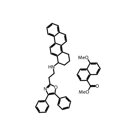 COC(=O)c1cccc2c(OC)cccc12.c1ccc(-c2nc(CCNC3CCCc4c3ccc3c4ccc4ccccc43)oc2-c2ccccc2)cc1